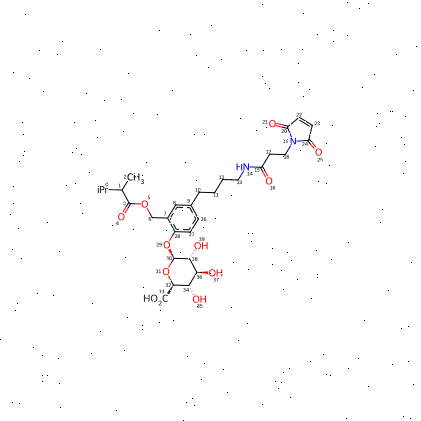 CC(C)C(C)C(=O)OCc1cc(CCCCNC(=O)CCN2C(=O)C=CC2=O)ccc1O[C@@H]1O[C@H](C(=O)O)[C@@H](O)[C@H](O)[C@H]1O